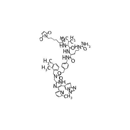 Cc1cccc(-c2nc(CN(Cc3cccc(C)c3C)C(=O)OCc3ccc(NC(=O)[C@H](CCCNC(N)=O)NC(=O)C(NC(=O)CCCCCN4C(=O)C=CC4=O)C(C)C)cc3)[nH]c2-c2ccc3ncnn3c2)n1